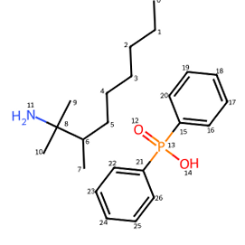 CCCCCCC(C)C(C)(C)N.O=P(O)(c1ccccc1)c1ccccc1